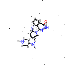 CN1CCC(N(C)CC2=CN3C(=Nc4cccc5c(=O)[nH]nc3c45)C=C2)CC1